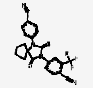 N#Cc1ccc(N2C(=S)N(c3ccc(C#N)c(C(F)(F)F)c3)C(=O)C23CCCC3)cc1